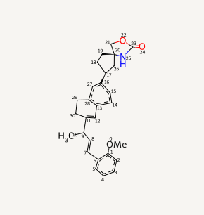 COc1ccccc1/C=C/C(C)C1=Cc2ccc([C@H]3CC[C@]4(COC(=O)N4)C3)cc2CC1